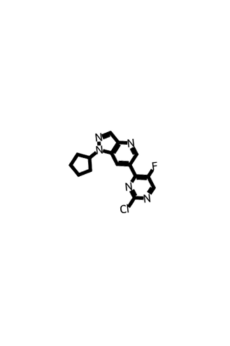 Fc1cnc(Cl)nc1-c1cnc2cnn(C3CCCC3)c2c1